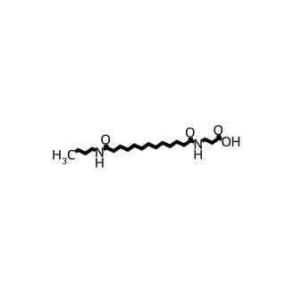 CCCCNC(=O)CCCCCCCCCCCC(=O)NCCC(=O)O